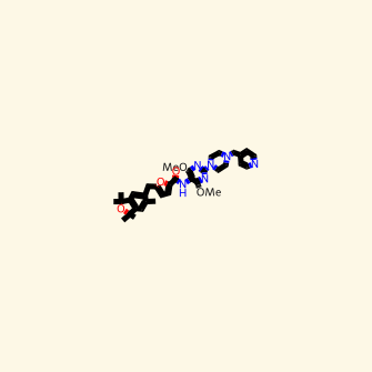 COc1nc(N2CCN(Cc3ccncc3)CC2)nc(OC)c1NC(=O)c1ccc(Cc2cc3c(cc2C)C(C)(C)OC3(C)C)o1